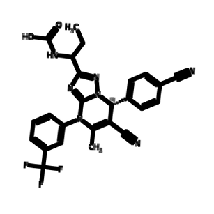 CCC(NC(=O)O)c1nc2n(n1)[C@H](c1ccc(C#N)cc1)C(C#N)=C(C)N2c1cccc(C(F)(F)F)c1